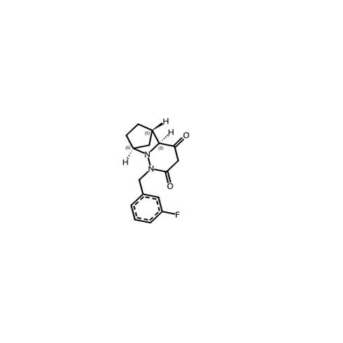 O=C1CC(=O)N(Cc2cccc(F)c2)N2[C@H]3CC[C@@H](C3)[C@@H]12